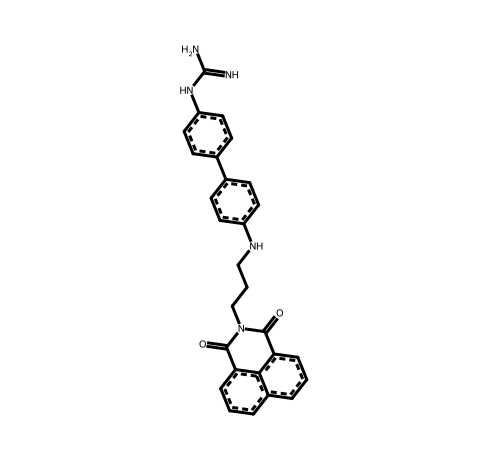 N=C(N)Nc1ccc(-c2ccc(NCCCN3C(=O)c4cccc5cccc(c45)C3=O)cc2)cc1